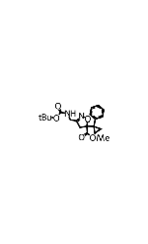 COC(=O)C1(C2(c3ccccc3)CC2)CC(CNC(=O)OC(C)(C)C)=NO1